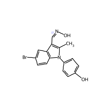 Cc1c(/C=N\O)c2cc(Br)ccc2n1-c1ccc(O)cc1